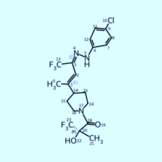 C/C(=C\C(=N/Nc1ccc(Cl)cc1)C(F)(F)F)C1CCN(C(=O)[C@@](C)(O)C(F)(F)F)CC1